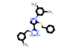 Cc1cccc(CN2NNN=C2c2cnn(-c3cc(C)cc(C)c3)c2SCc2ccccc2)c1